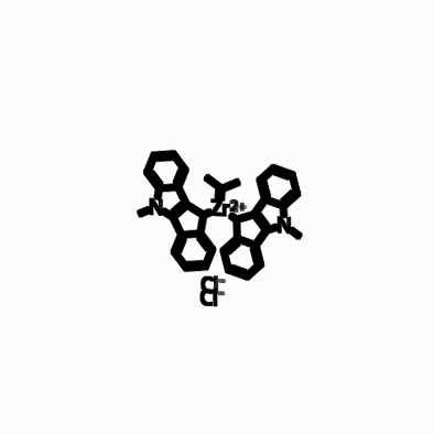 C[C](C)=[Zr+2]([CH]1c2ccccc2-c2c1c1ccccc1n2C)[CH]1c2ccccc2-c2c1c1ccccc1n2C.[Cl-].[Cl-]